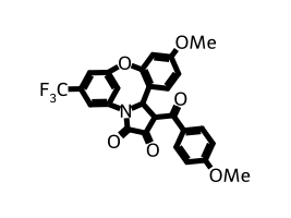 COc1ccc(C(=O)C2C(=O)C(=O)N3c4cc(cc(C(F)(F)F)c4)Oc4cc(OC)ccc4C23)cc1